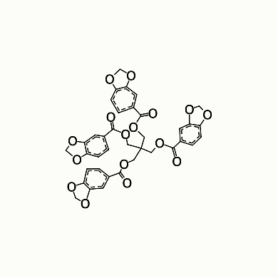 O=C(OCC(COC(=O)c1ccc2c(c1)OCO2)(COC(=O)c1ccc2c(c1)OCO2)COC(=O)c1ccc2c(c1)OCO2)c1ccc2c(c1)OCO2